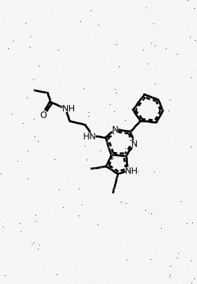 CCC(=O)NCCNc1nc(-c2ccccc2)nc2[nH]c(C)c(C)c12